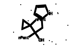 CCCCCC(O)(Cc1ccc[nH]1)C1(CCCCC)CC1